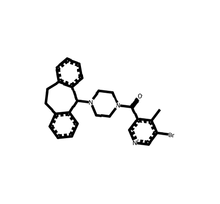 Cc1c(Br)cncc1C(=O)N1CCN(C2c3ccccc3CCc3ccccc32)CC1